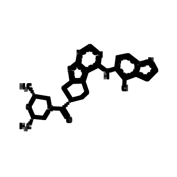 C[C@@H]1CN(C(=O)[C@H]2CCc3c(sc4ncnc(Nc5ccn6nccc6c5Cl)c34)C2)C[C@H](C)O1